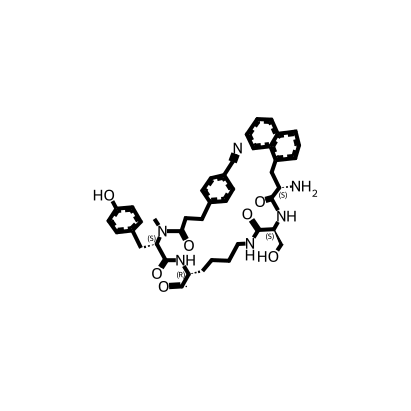 CN(C(=O)CCc1ccc(C#N)cc1)[C@@H](Cc1ccc(O)cc1)C(=O)N[C@@H]([C]=O)CCCCNC(=O)[C@H](CO)NC(=O)[C@@H](N)Cc1cccc2ccccc12